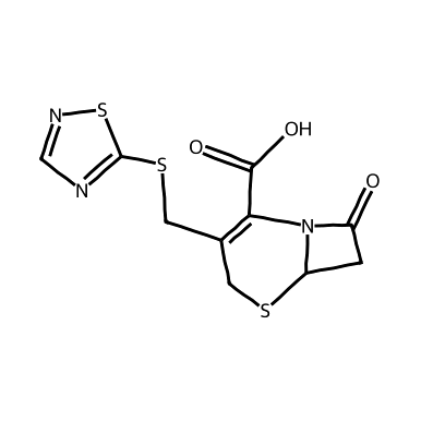 O=C(O)C1=C(CSc2ncns2)CSC2CC(=O)N12